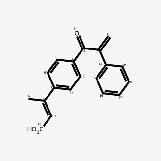 C=C(C(=O)c1ccc(C(C)=CC(=O)O)cc1)c1ccccc1